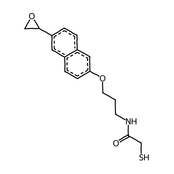 O=C(CS)NCCCOc1ccc2cc(C3CO3)ccc2c1